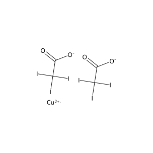 O=C([O-])C(I)(I)I.O=C([O-])C(I)(I)I.[Cu+2]